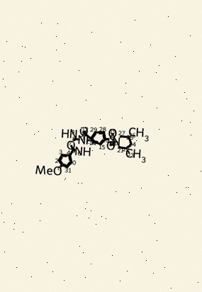 COc1ccc(C(=N)OC(=N)NC(=O)c2ccc(S(=O)(=O)N3C[C@H](C)C[C@H](C)C3)cc2)cc1